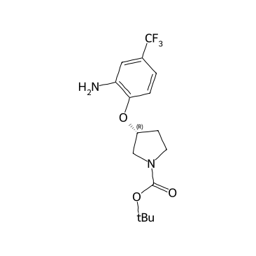 CC(C)(C)OC(=O)N1CC[C@@H](Oc2ccc(C(F)(F)F)cc2N)C1